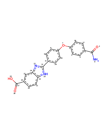 NC(=O)c1ccc(Oc2ccc(-c3nc4cc(C(=O)O)ccc4[nH]3)cc2)cc1